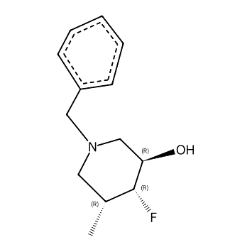 C[C@@H]1CN(Cc2ccccc2)C[C@@H](O)[C@@H]1F